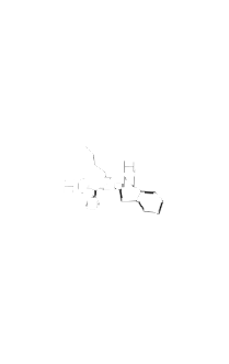 CCC[CH2][Zn]([C](=O)O)[c]1cc2ccccc2[nH]1